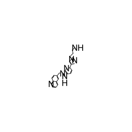 CNCCCn1cc(-c2ccc3[nH]n(Cc4ccc5ncccc5c4)c3n2)cn1